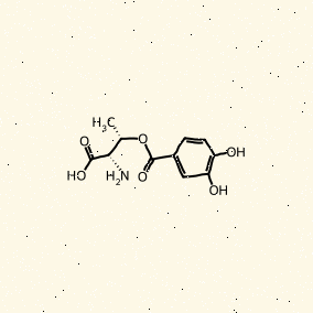 C[C@H](OC(=O)c1ccc(O)c(O)c1)[C@H](N)C(=O)O